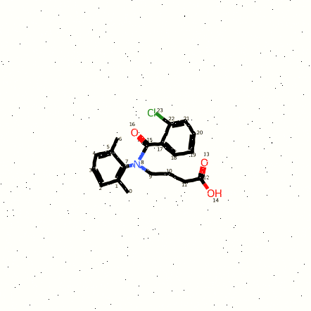 Cc1cccc(C)c1N(CCCC(=O)O)C(=O)c1ccccc1Cl